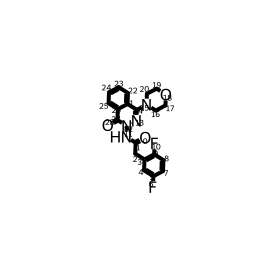 O=C(Cc1cc(F)ccc1F)Nn1nc(N2CCOCC2)c2ccccc2c1=O